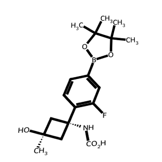 CC1(C)OB(c2ccc([C@]3(NC(=O)O)C[C@](C)(O)C3)c(F)c2)OC1(C)C